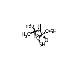 CCCCC(C)(CCC)NP(=O)(OS)OS